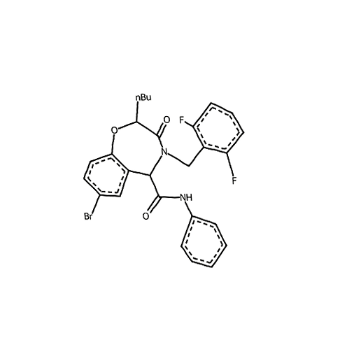 CCCCC1Oc2ccc(Br)cc2C(C(=O)Nc2ccccc2)N(Cc2c(F)cccc2F)C1=O